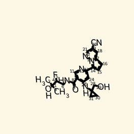 CC(C)(O)C(F)CNC(=O)c1cnc(-c2ccc3cc(C#N)cnn23)cc1NC1(CO)CC1